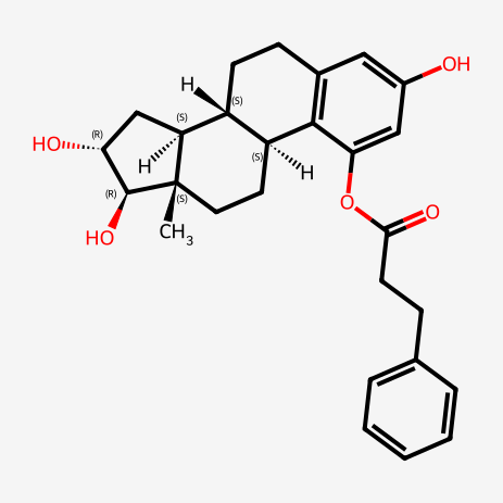 C[C@]12CC[C@@H]3c4c(cc(O)cc4OC(=O)CCc4ccccc4)CC[C@H]3[C@@H]1C[C@@H](O)[C@@H]2O